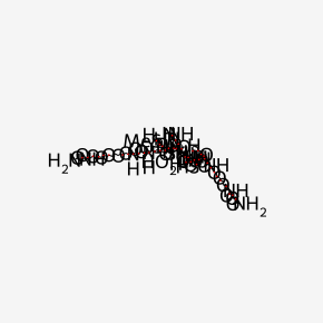 CSCC(=O)N[C@@H](CCCCNC(=O)COCC(=O)NCCOCCOCCOCCOCCOCCNC(=O)CON)C(=O)NC(S)C(=O)N[C@@H](CCCNC(=N)N)C(=O)NCC(=O)N[C@@H](CC(=O)O)C(=O)N[C@@H](CS)C(=O)N[C@@H](Cc1ccccc1)C(=O)NCC(=O)NCCOCCOCCOCCNC(=O)COCC(N)=O